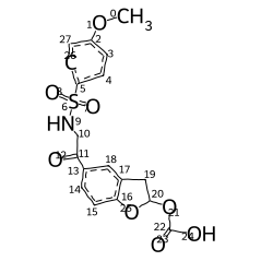 COc1ccc(S(=O)(=O)NCC(=O)c2ccc3c(c2)CC(OC(=O)O)O3)cc1